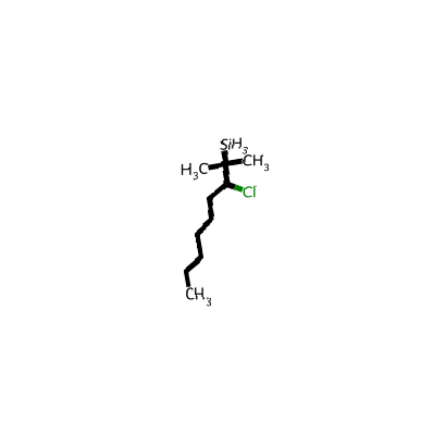 CCCCCCC(Cl)C(C)(C)[SiH3]